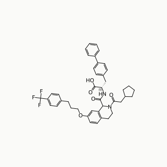 O=C(N[C@@H](Cc1ccc(-c2ccccc2)cc1)C(=O)O)C1c2cc(OCCCc3ccc(C(F)(F)F)cc3)ccc2CCN1C(=O)CC1CCCC1